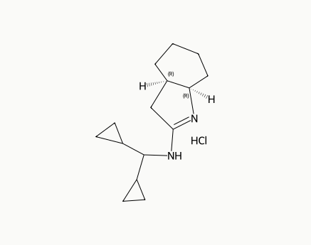 C1CC[C@H]2N=C(NC(C3CC3)C3CC3)C[C@H]2C1.Cl